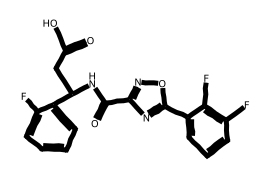 O=C(O)CC(NC(=O)c1noc(-c2cccc(F)c2F)n1)c1ccccc1F